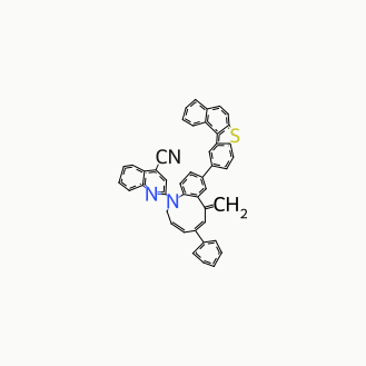 C=C1/C=C(c2ccccc2)\C=C/CN(c2cc(C#N)c3ccccc3n2)c2ccc(-c3ccc4sc5ccc6ccccc6c5c4c3)cc21